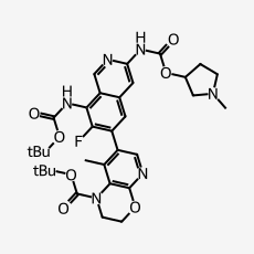 Cc1c(-c2cc3cc(NC(=O)OC4CCN(C)C4)ncc3c(NC(=O)OC(C)(C)C)c2F)cnc2c1N(C(=O)OC(C)(C)C)CCO2